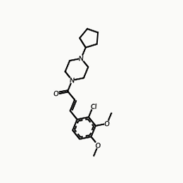 COc1ccc(C=CC(=O)N2CCN(C3CCCC3)CC2)c(Cl)c1OC